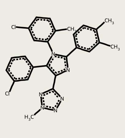 Cc1ccc(-c2nc(-c3nnn(C)n3)c(-c3cccc(Cl)c3)n2-c2cc(Cl)ccc2C)cc1C